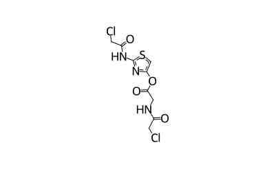 O=C(CCl)NCC(=O)Oc1csc(NC(=O)CCl)n1